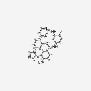 Cc1ccc(NC(=O)c2ccc(C#N)cc2)cc1Nc1nccc(-c2ccc(-n3ccnc3)cc2)n1